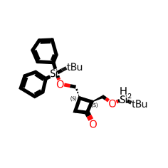 CC(C)(C)[SiH2]OC[C@H]1C(=O)C[C@@H]1CO[Si](c1ccccc1)(c1ccccc1)C(C)(C)C